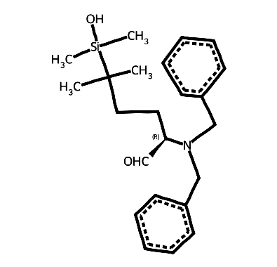 CC(C)(CC[C@H](C=O)N(Cc1ccccc1)Cc1ccccc1)[Si](C)(C)O